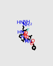 CC(C)C[C@H](NC(=O)OCc1ccccc1)C(=O)N(C)[C@H](C(=O)N1CCC[C@H]1C(=O)N[C@@H](CCCNC(=N)N)C(=O)CF)C(C)C